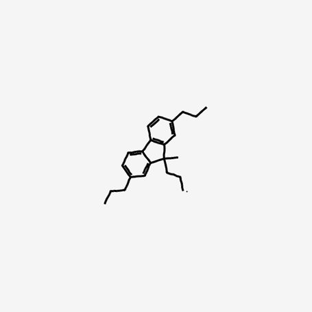 [CH2]CCC1(C)c2cc(CCC)ccc2-c2ccc(CCC)cc21